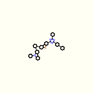 c1ccc(-c2ccc(-c3nc(-c4ccccc4)nc(-c4ccc5c(c4)sc4ccc(-c6ccccc6-c6ccc7c8ccccc8n(-c8ccccc8)c7c6)cc45)n3)cc2)cc1